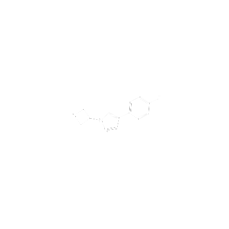 Fc1ccc(-c2cnn(C3CNC3)c2)cc1